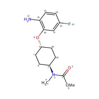 COC(=O)N(C)[C@H]1CC[C@H](Oc2cc(F)ccc2N)CC1